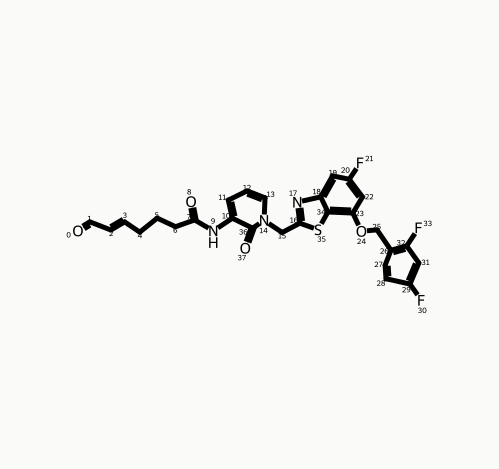 O=C/C=C/CCCC(=O)Nc1cccn(Cc2nc3cc(F)cc(OCc4ccc(F)cc4F)c3s2)c1=O